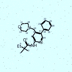 CCC(C)(C)C(=O)Nc1cc(CN2CCOCC2)c(-c2ccccc2)cn1